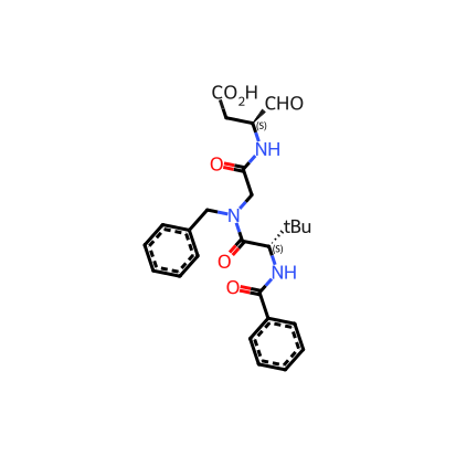 CC(C)(C)[C@H](NC(=O)c1ccccc1)C(=O)N(CC(=O)N[C@H](C=O)CC(=O)O)Cc1ccccc1